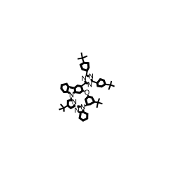 CC(C)(C)c1ccc(-c2nc(-c3ccc(C(C)(C)C)cc3)nc(-c3cc4c5ccccc5n(-c5cc(C(C)(C)C)ccn5)c4cc3Oc3cc(-n4cnc5ccccc54)cc(C(C)(C)C)c3)n2)cc1